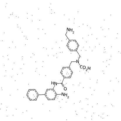 NCc1ccc(CN(Cc2ccc(C(=O)Nc3cc(-c4ccccc4)ccc3N)cc2)C(=O)O)cc1